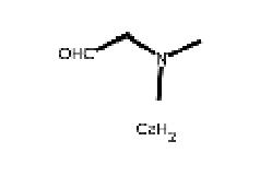 CN(C)CC=O.[CaH2]